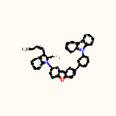 C=C/C=C\c1c(C)n(-c2ccc3oc4ccc(-c5cccc(-n6c7ccccc7c7ccccc76)c5)cc4c3c2)c2ccccc12